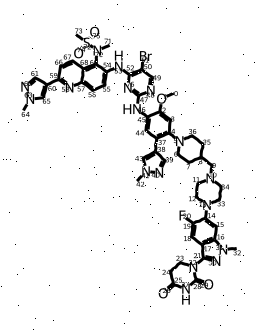 COc1cc(N2CCC(CN3CCN(c4cc5c(cc4F)c(N4CCC(=O)NC4=O)nn5C)CC3)CC2)c(-c2cnn(C)c2)cc1Nc1ncc(Br)c(Nc2ccc3nc(-c4cnn(C)c4)ccc3c2N(C)S(C)(=O)=O)n1